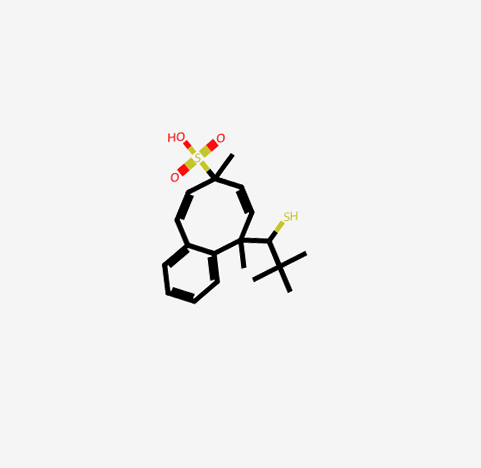 CC(C)(C)C(S)C1(C)/C=C\C(C)(S(=O)(=O)O)/C=C\c2ccccc21